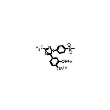 COc1ccc(-c2nc(C(F)(F)F)nn2-c2ccc(S(C)(=O)=O)cc2)cc1OC